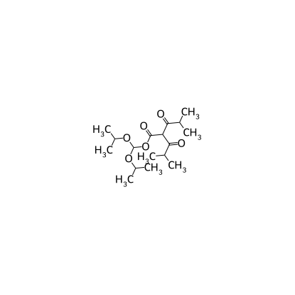 CC(C)OC(OC(=O)C(C(=O)C(C)C)C(=O)C(C)C)OC(C)C